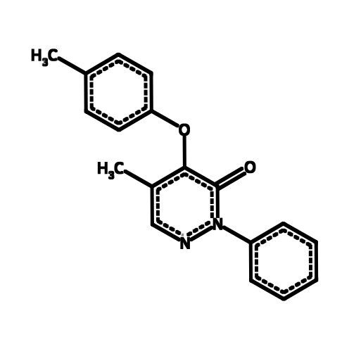 Cc1ccc(Oc2c(C)cnn(-c3ccccc3)c2=O)cc1